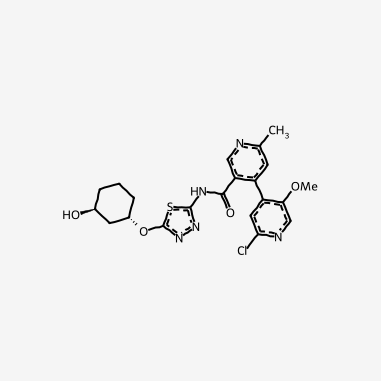 COc1cnc(Cl)cc1-c1cc(C)ncc1C(=O)Nc1nnc(O[C@H]2CCC[C@H](O)C2)s1